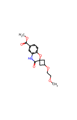 COCCOC1CC2(C1)Oc1ccc(C(=O)OC)cc1NC2=O